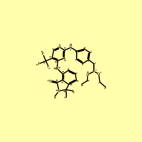 CCOP(Cc1ccc(Nc2ncc(C(F)(F)F)c(Nc3cccc4c3C(=O)N(C)C4(C)C)n2)cc1)OCC